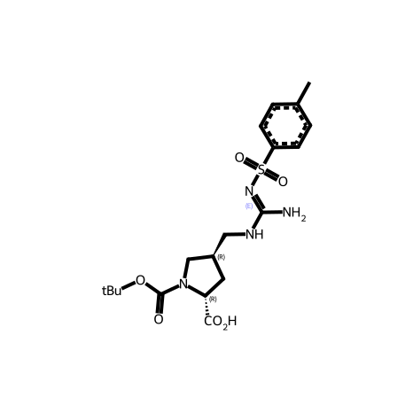 Cc1ccc(S(=O)(=O)/N=C(\N)NC[C@H]2C[C@H](C(=O)O)N(C(=O)OC(C)(C)C)C2)cc1